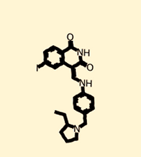 CCC1CCCN1Cc1ccc(N/C=C2\C(=O)NC(=O)c3ccc(I)cc32)cc1